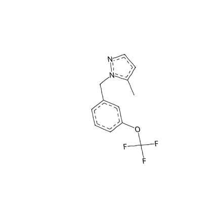 Cc1ccnn1Cc1cccc(OC(F)(F)F)c1